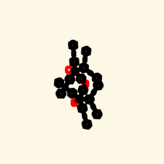 O=C1C(c2ccc(C#Cc3ccccc3)cc2)=C(c2ccc(Oc3ccc(C4=C(c5ccc(C#Cc6ccccc6)cc5)C(=O)C(c5ccc(C#Cc6ccccc6)cc5)=C4c4cc(C#Cc5ccccc5)cc(C#Cc5ccccc5)c4)cc3)cc2)C(c2cc(C#Cc3ccccc3)cc(C#Cc3ccccc3)c2)=C1c1ccc(C#Cc2ccccc2)cc1